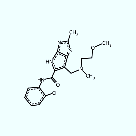 COCCN(C)Cc1c(C(=O)Nc2ccccc2Cl)[nH]c2nc(C)sc12